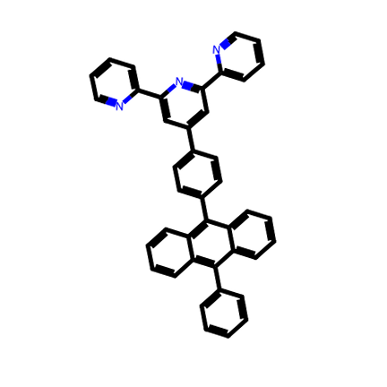 c1ccc(-c2c3ccccc3c(-c3ccc(-c4cc(-c5ccccn5)nc(-c5ccccn5)c4)cc3)c3ccccc23)cc1